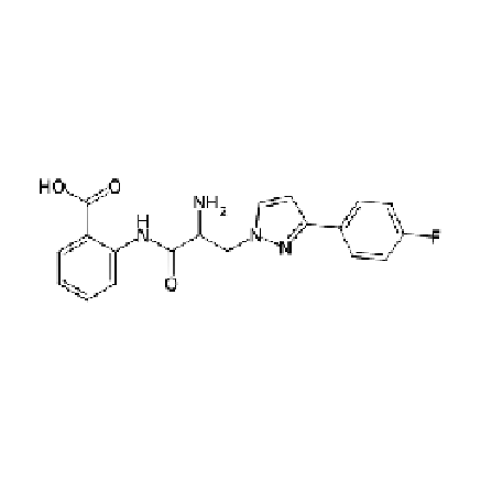 NC(Cn1ccc(-c2ccc(F)cc2)n1)C(=O)Nc1ccccc1C(=O)O